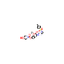 Cc1ccc(S(=O)(=O)N2CCC[C@H]2C(=O)N[C@@H](Cc2ccc(OC(=O)N3CCC(O)CC3)cc2)C(=O)OC(C)C)cc1